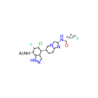 CC(=O)Nc1c(F)c(Cl)c(-c2ccc3nc(NC(=O)[C@@H]4C[C@@H]4F)cn3c2)c2cn[nH]c12